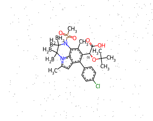 BC1(B)N(S(C)(=O)=O)c2c(C)c([C@H](OC(C)(C)C)C(=O)O)c(-c3ccc(Cl)cc3)c3cc(C)n(c23)C1(B)B